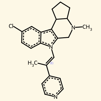 C/C(=C\n1c2c(c3cc(Cl)ccc31)C1CCCC1N(C)C2)c1ccncc1